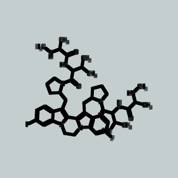 CNC(C)C(=O)NC(C(=O)N1CCCC1Cc1c2n(c3cc(F)ccc13)CCn1c-2c(CC2CCCN2C(=O)C(NC(=O)C(C)NC)C(C)C)c2ccc(F)cc21)C(C)C